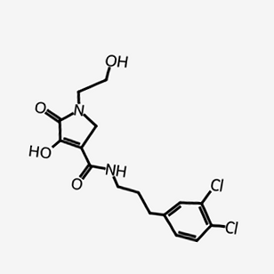 O=C(NCCCc1ccc(Cl)c(Cl)c1)C1=C(O)C(=O)N(CCO)C1